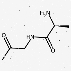 CC(=O)CNC(=O)[C@H](C)N